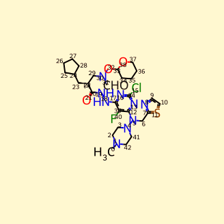 CN1CCN(N(Cc2nccs2)c2nc(Cl)nc(NNC(=O)[C@@H](CC3CCCC3)CN(C=O)OC3CCCCO3)c2F)CC1